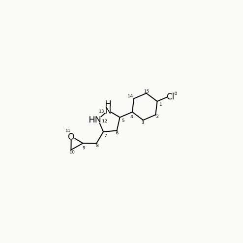 ClC1CCC(C2CC(CC3CO3)NN2)CC1